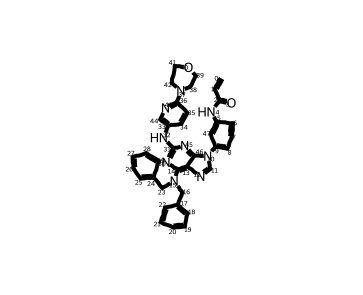 C=CC(=O)Nc1cccc(-n2cnc3c(N(Cc4ccccc4)Cc4ccccc4)nc(Nc4ccc(N5CCOCC5)nc4)nc32)c1